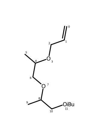 C=CCOC(C)COC(C)COCC(C)C